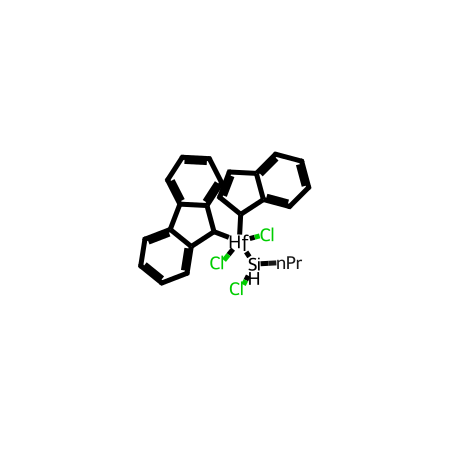 CCC[SiH](Cl)[Hf]([Cl])([Cl])([CH]1C=Cc2ccccc21)[CH]1c2ccccc2-c2ccccc21